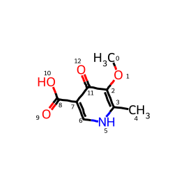 COc1c(C)[nH]cc(C(=O)O)c1=O